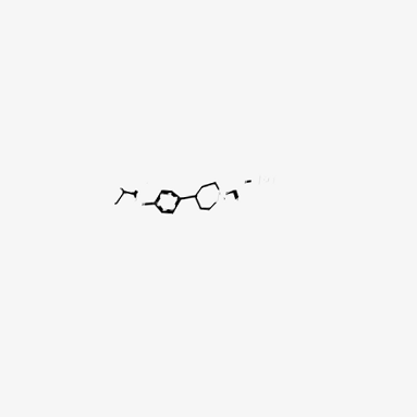 CC(I)C(=O)Oc1ccc(C2CCN(C(=O)OC(C)(C)C)CC2)cc1